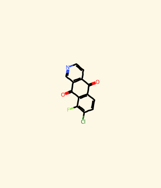 O=C1c2ccncc2C(=O)c2c1ccc(Cl)c2F